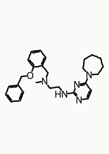 CN(CCNc1nccc(N2CCCCCC2)n1)Cc1ccccc1OCc1ccccc1